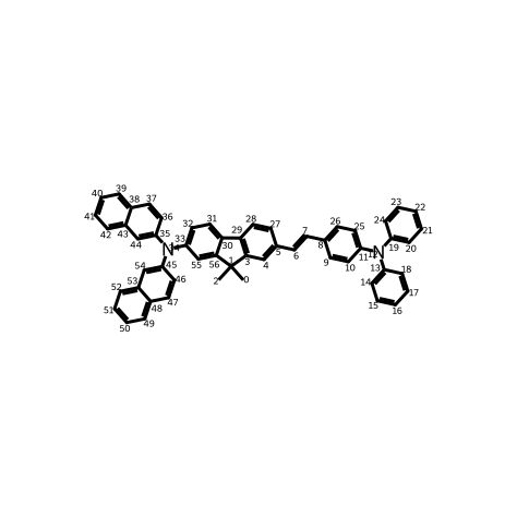 CC1(C)c2cc(/C=C/c3ccc(N(c4ccccc4)c4ccccc4)cc3)ccc2-c2ccc(N(c3ccc4ccccc4c3)c3ccc4ccccc4c3)cc21